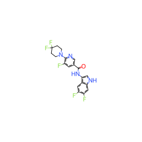 O=C(Nc1c[nH]c2cc(F)c(F)cc12)c1cnc(N2CCC(F)(F)CC2)c(F)c1